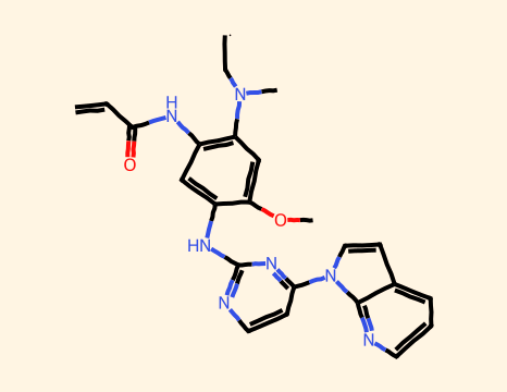 [CH2]CN(C)c1cc(OC)c(Nc2nccc(-n3ccc4cccnc43)n2)cc1NC(=O)C=C